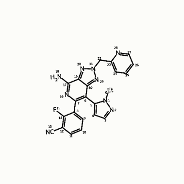 CCn1nccc1-c1c(-c2cccc(C#N)c2F)nc(N)c2nn(Cc3ccccn3)nc12